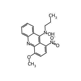 CCCN(O)c1c2ccccc2nc2c(OC)ccc([N+](=O)[O-])c12